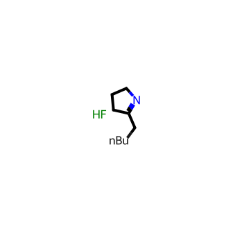 CCCCCC1=NCCC1.F